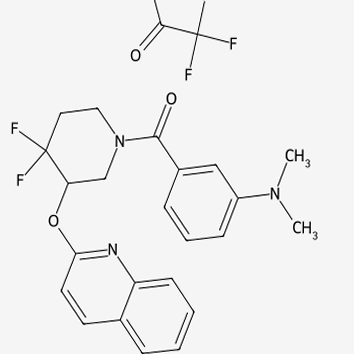 CN(C)c1cccc(C(=O)N2CCC(F)(F)C(Oc3ccc4ccccc4n3)C2)c1.O=C(O)C(F)(F)F